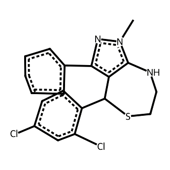 Cn1nc(-c2ccccc2)c2c1NCCSC2c1ccc(Cl)cc1Cl